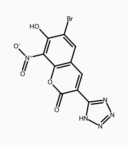 O=c1oc2c([N+](=O)[O-])c(O)c(Br)cc2cc1-c1nnn[nH]1